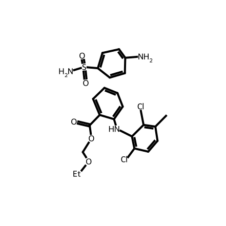 CCOCOC(=O)c1ccccc1Nc1c(Cl)ccc(C)c1Cl.Nc1ccc(S(N)(=O)=O)cc1